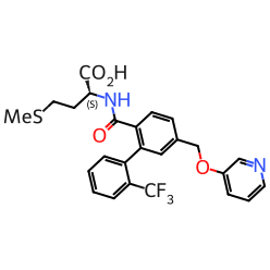 CSCC[C@H](NC(=O)c1ccc(COc2cccnc2)cc1-c1ccccc1C(F)(F)F)C(=O)O